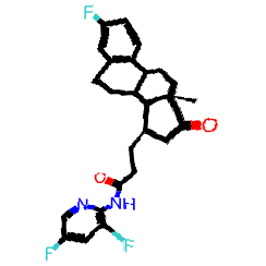 C[C@]12CCC3c4ccc(F)cc4CCC3C1[C@H](CCC(=O)Nc1ncc(F)cc1F)CC2=O